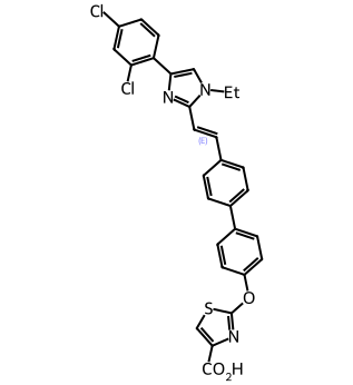 CCn1cc(-c2ccc(Cl)cc2Cl)nc1/C=C/c1ccc(-c2ccc(Oc3nc(C(=O)O)cs3)cc2)cc1